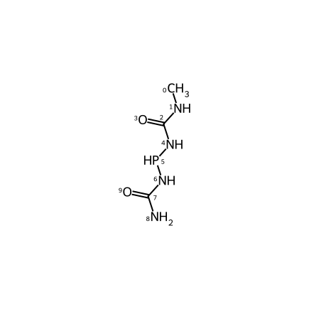 CNC(=O)NPNC(N)=O